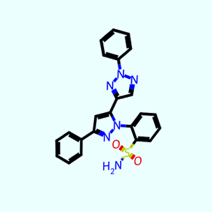 NS(=O)(=O)c1ccccc1-n1nc(-c2ccccc2)cc1-c1cnn(-c2ccccc2)n1